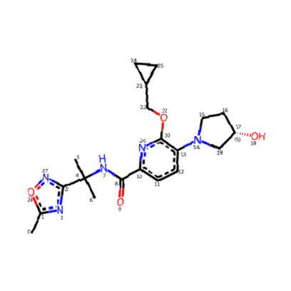 Cc1nc(C(C)(C)NC(=O)c2ccc(N3CC[C@H](O)C3)c(OCC3CC3)n2)no1